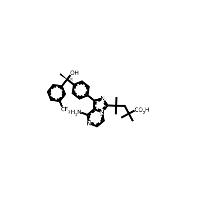 CC(C)(CC(C)(C)c1nc(-c2ccc([C@@](C)(O)c3cccc(C(F)(F)F)c3)cc2)c2c(N)nccn12)C(=O)O